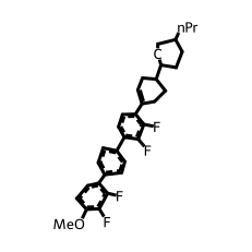 CCCC1CCC(C2CC=C(c3ccc(-c4ccc(-c5ccc(OC)c(F)c5F)cc4)c(F)c3F)CC2)CC1